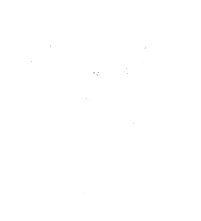 C#Cc1c(F)ccc2cc(O)cc(-c3ncc4c(N5C[C@H]6CC[C@@H](C5)N6C(=O)C=C)nc(OC[C@H]5CCCCN5C)nc4c3F)c12